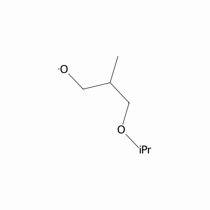 CC(C[O])COC(C)C